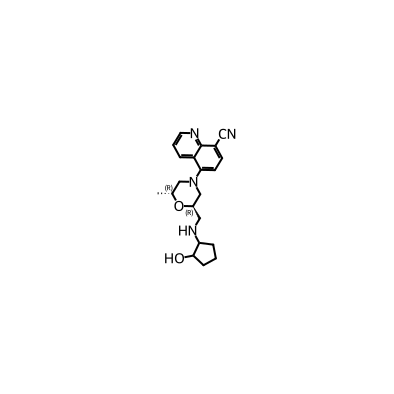 C[C@@H]1CN(c2ccc(C#N)c3ncccc23)C[C@@H](CNC2CCCC2O)O1